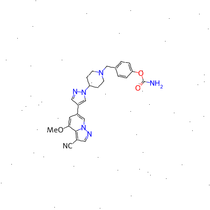 COc1cc(-c2cnn(C3CCN(Cc4ccc(OC(N)=O)cc4)CC3)c2)cn2ncc(C#N)c12